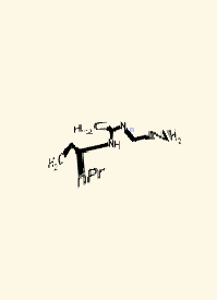 C=CC(CCC)NC(=C)/N=C/N